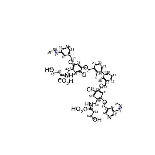 C/N=C\c1cncc(COc2cc(OCc3cccc(-c4cccc(COc5cc(OCc6cncc(/C=N/C)c6)c(CN[C@@H](CCO)C(=O)O)cc5Cl)c4C)c3C)c(Cl)cc2CN[C@H](CCO)C(=O)O)c1